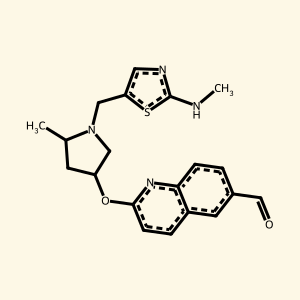 CNc1ncc(CN2CC(Oc3ccc4cc(C=O)ccc4n3)CC2C)s1